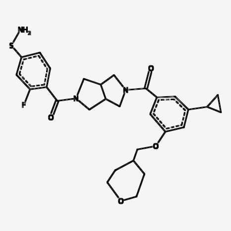 NSc1ccc(C(=O)N2CC3CN(C(=O)c4cc(OCC5CCOCC5)cc(C5CC5)c4)CC3C2)c(F)c1